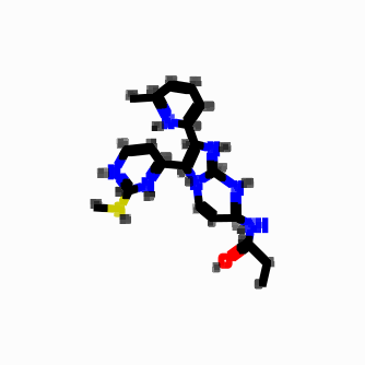 CCC(=O)Nc1ccn2c(-c3ccnc(SC)n3)c(-c3cccc(C)n3)nc2n1